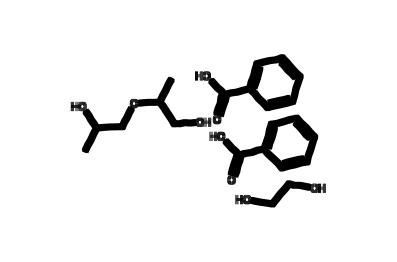 CC(O)COC(C)CO.O=C(O)c1ccccc1.O=C(O)c1ccccc1.OCCO